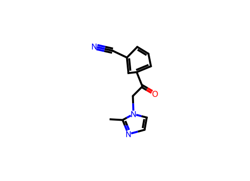 Cc1nccn1CC(=O)c1cccc(C#N)c1